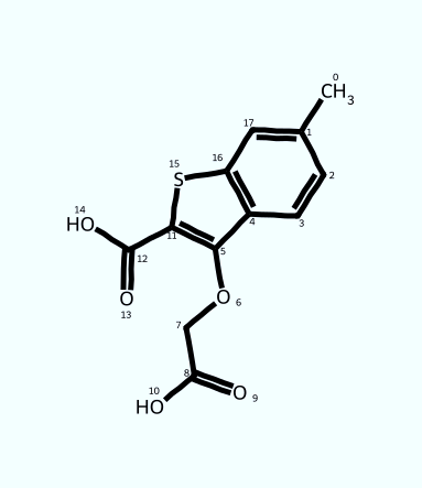 Cc1ccc2c(OCC(=O)O)c(C(=O)O)sc2c1